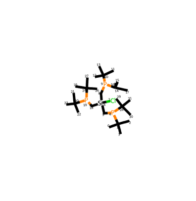 CC(C)(C)P(C[Si](Cl)(CP(C(C)(C)C)C(C)(C)C)CP(C(C)(C)C)C(C)(C)C)C(C)(C)C